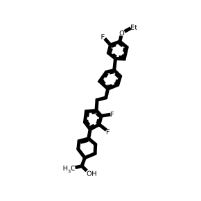 CCOc1ccc(-c2ccc(CCc3ccc(C4=CCC(C(C)O)CC4)c(F)c3F)cc2)cc1F